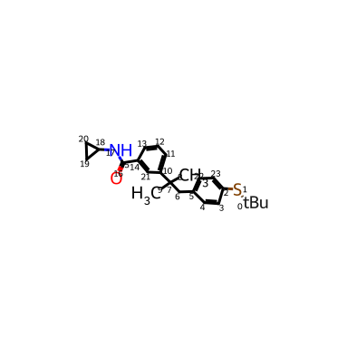 CC(C)(C)Sc1ccc(CC(C)(C)c2cccc(C(=O)NC3CC3)c2)cc1